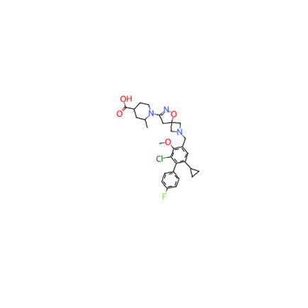 COc1c(CN2CC3(CC(N4CCC(C(=O)O)CC4C)=NO3)C2)cc(C2CC2)c(-c2ccc(F)cc2)c1Cl